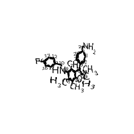 Cc1c(C)c2c(c(C)c1NCc1ccc(F)cc1)C(c1ccc(CN)cc1)C(C)(C)O2